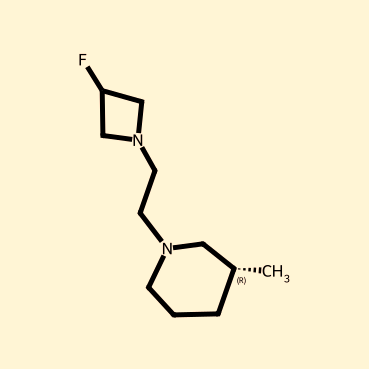 C[C@@H]1CCCN(CCN2CC(F)C2)C1